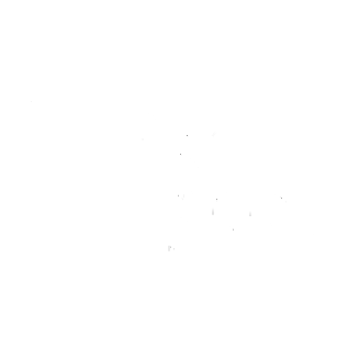 COCCOc1cc(F)c(Cn2nc(-c3nc4c(c(Nc5cc(C)ncc5C)n3)CNC4)c3ccccc32)c(F)c1